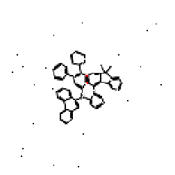 CC1(C)c2ccccc2-c2c(-c3ccccc3N(c3ccc(-c4ccccc4)c(-c4ccccc4)c3)c3cc4ccccc4c4ccccc34)cccc21